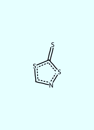 S=c1scns1